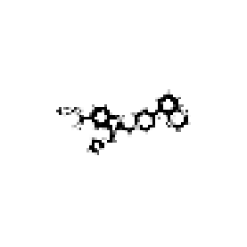 COC(=O)c1ccc2nc(CN3CCC(c4cccc5c4OCCO5)CC3)n(C[C@@H]3CCO3)c2c1